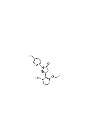 CCOc1cccc(O)c1C1=NN(c2ccc(Cl)cc2)C(=O)C1